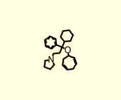 C1=CCC(OC(CCN2CCCC2)(c2ccccc2)C2CCCCC2)C=CC1